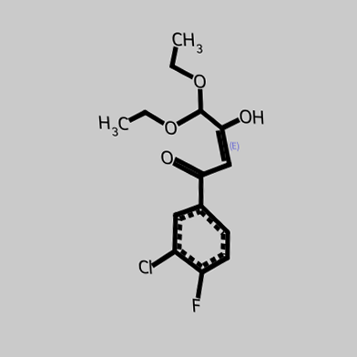 CCOC(OCC)/C(O)=C\C(=O)c1ccc(F)c(Cl)c1